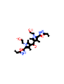 CCc1nnc(-c2c(C)c(C(=O)c3c(C)c(-c4nnc(CC)o4)n(CCO)c3C)c(C)n2CCO)o1